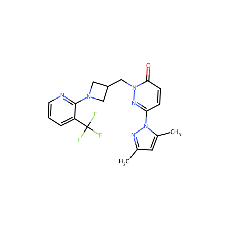 Cc1cc(C)n(-c2ccc(=O)n(CC3CN(c4ncccc4C(F)(F)F)C3)n2)n1